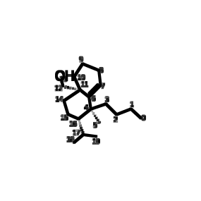 CCCC[C@]1(C)C2=CCCC[C@]2(CO)CC[C@H]1C(C)C